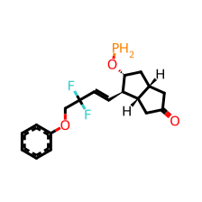 O=C1C[C@H]2C[C@@H](OP)[C@H](/C=C/C(F)(F)COc3ccccc3)[C@H]2C1